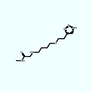 CNC(=O)CNCCCCOCCc1c[nH]nn1